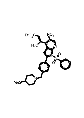 CCOC(=O)/C=C(\C)c1c([N+](=O)[O-])cnc2c1cc(-c1ccc(CN3CCC(SC)CC3)cc1)n2S(=O)(=O)c1ccccc1